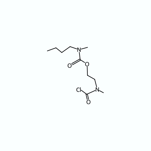 CCCCN(C)C(=O)OCCN(C)C(=O)Cl